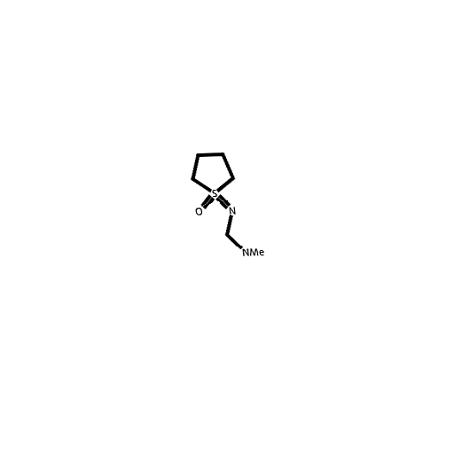 CNCN=S1(=O)CCCC1